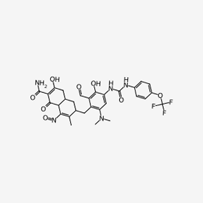 CC1=C(N=O)C2C(=O)C(C(N)=O)=C(O)CC2CC1Cc1c(N(C)C)cc(NC(=O)Nc2ccc(OC(F)(F)F)cc2)c(O)c1C=O